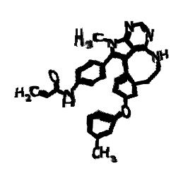 C=CC(=O)Nc1ccc(-c2c3c4c(ncnc4n2C)NCCc2cc(Oc4cccc(C)c4)ccc2-3)cc1